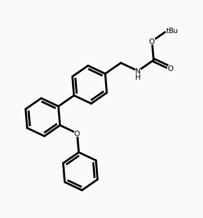 CC(C)(C)OC(=O)NCc1ccc(-c2ccccc2Oc2ccccc2)cc1